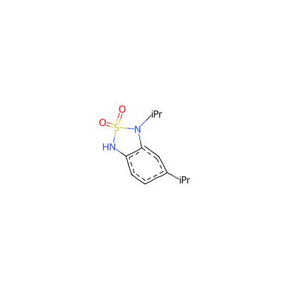 CC(C)c1ccc2c(c1)N(C(C)C)S(=O)(=O)N2